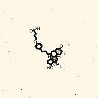 C[C@]12CCC(=O)CC1CC(CCCc1ccc(OCCCC(=O)O)cc1)[C@@H]1[C@H]2CC[C@]2(C)C(O)CC[C@@H]12